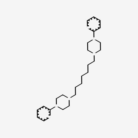 c1ccc(N2CCN(CCCCCCCN3CCN(c4ccccn4)CC3)CC2)nc1